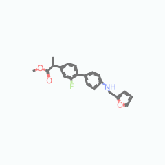 COC(=O)C(C)c1ccc(-c2ccc(NCc3ccco3)cc2)c(F)c1